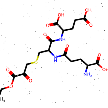 CCOC(=O)C(=O)CSCC(NC(=O)CCC(N)C(=O)O)C(=O)NC(CCC(=O)O)C(=O)O